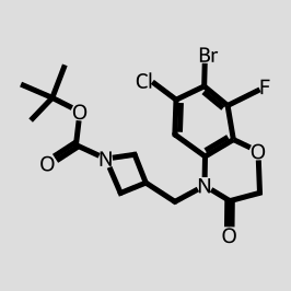 CC(C)(C)OC(=O)N1CC(CN2C(=O)COc3c2cc(Cl)c(Br)c3F)C1